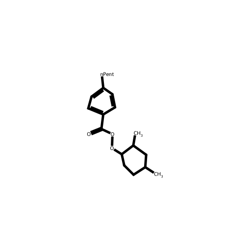 CCCCCc1ccc(C(=O)OO[C]2CCC(C)CC2C)cc1